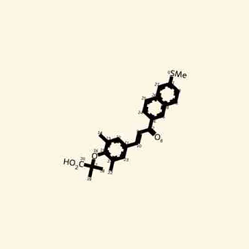 CSc1ccc2cc(C(=O)/C=C/c3cc(C)c(OC(C)(C)C(=O)O)c(C)c3)ccc2c1